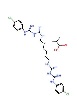 CC(C)C(=O)O.N=C(NCCCCCCNC(=N)NC(=N)Nc1ccc(Cl)cc1)NC(=N)Nc1ccc(Cl)cc1